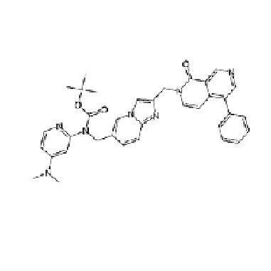 CN(C)c1ccnc(N(Cc2ccc3nc(Cn4ccc5c(-c6ccccc6)cncc5c4=O)cn3c2)C(=O)OC(C)(C)C)c1